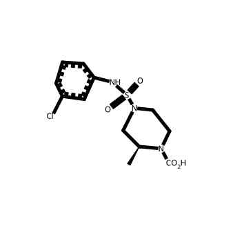 C[C@H]1CN(S(=O)(=O)Nc2cccc(Cl)c2)CCN1C(=O)O